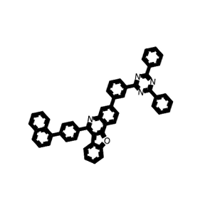 c1ccc(-c2nc(-c3ccccc3)nc(-c3cccc(-c4ccc5c(c4)nc(-c4ccc(-c6cccc7ccccc67)cc4)c4c6ccccc6oc54)c3)n2)cc1